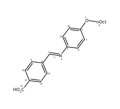 CCCCCCCCOc1ccc(/N=C/c2ccc(C(=O)O)cc2)cc1